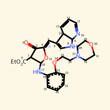 CCOC(=O)C1C(=O)/C(=C/C2=CNC3N=CC=CC23)OC1Nc1ccccc1OCCN1CCOCC1